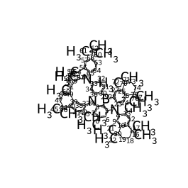 Cc1cc2c3c(c1)N(c1cc4c(cc1C)C(C)(C)CCC4(C)C)c1cc4c(cc1B3c1ccc3cc1N2c1cc2c(cc1C)C(C)(C)CCC2(C)C1CCC2(C)c5cc(C(C)(C)C)ccc5N3C2(C)C1)C(C)(C)CCC4(C)C